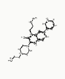 CCCOCCn1c(=O)c(N2CCN(CCO)CC2)nc2cnc(-c3cccnc3)cc21